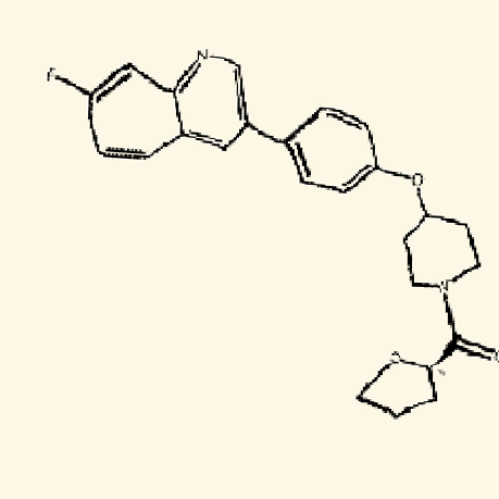 O=C([C@H]1CCCO1)N1CCC(Oc2ccc(-c3cnc4cc(F)ccc4c3)cc2)CC1